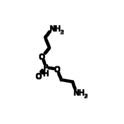 NCCO[PH](=O)OCCN